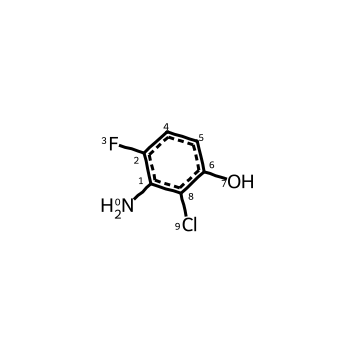 Nc1c(F)ccc(O)c1Cl